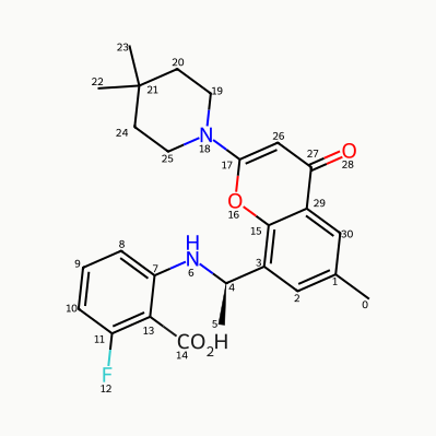 Cc1cc([C@@H](C)Nc2cccc(F)c2C(=O)O)c2oc(N3CCC(C)(C)CC3)cc(=O)c2c1